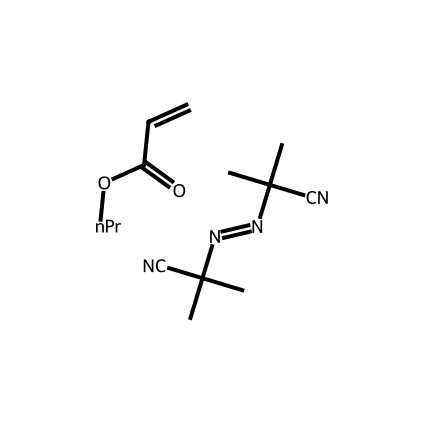 C=CC(=O)OCCC.CC(C)(C#N)N=NC(C)(C)C#N